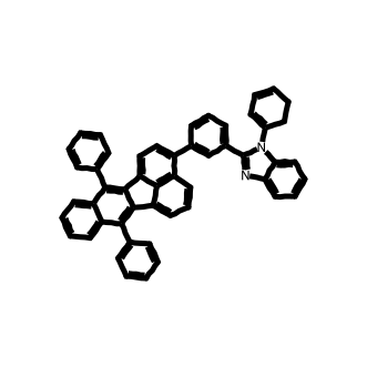 C1=CCCC(n2c(-c3cccc(-c4ccc5c6c(cccc46)-c4c-5c(-c5ccccc5)c5ccccc5c4-c4ccccc4)c3)nc3ccccc32)=C1